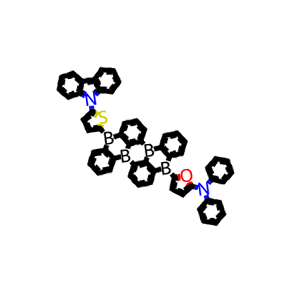 c1ccc(N(c2ccccc2)c2ccc(B3c4ccccc4B4c5cccc6c5B(c5ccccc5B6c5ccc(-n6c7ccccc7c7ccccc76)s5)c5cccc3c54)o2)cc1